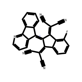 N#CC(C#N)=C1/C(=C2/c3ccccc3-c3ncccc32)C(=C(C#N)C#N)c2c(F)cccc21